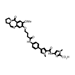 COc1cc2c(cc1OCCCC(=O)Nc1ccc(-c3cc(C(=O)Nc4cn(C)c(C(=O)O)n4)n(C)c3)cc1)N=CC1CCCN1C2=O